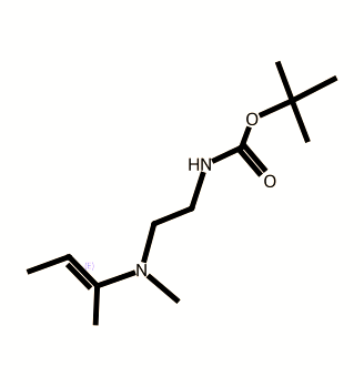 C/C=C(\C)N(C)CCNC(=O)OC(C)(C)C